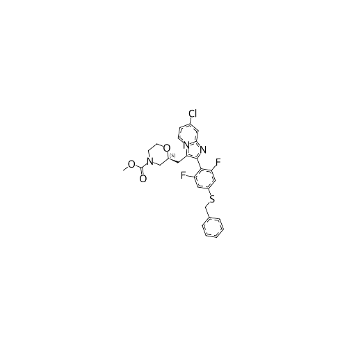 COC(=O)N1CCO[C@@H](Cc2c(-c3c(F)cc(SCc4ccccc4)cc3F)nc3cc(Cl)ccn23)C1